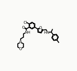 Cc1ccc(C(C)NCc2ccc(-c3ccc(Cl)c(C(=O)NCCCN4CCOCC4)c3)o2)cc1